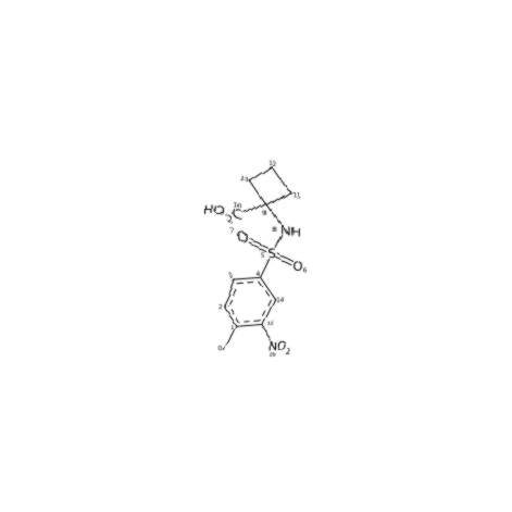 Cc1ccc(S(=O)(=O)NC2(C(=O)O)CCC2)cc1[N+](=O)[O-]